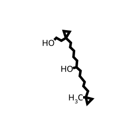 CC1(CCCCCC(O)CCCCCC2(CCO)CC2)CC1